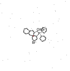 COC(c1ccc2ccccc2c1)[P+](c1ccccc1)(c1ccccc1)c1ccccc1.[Br-]